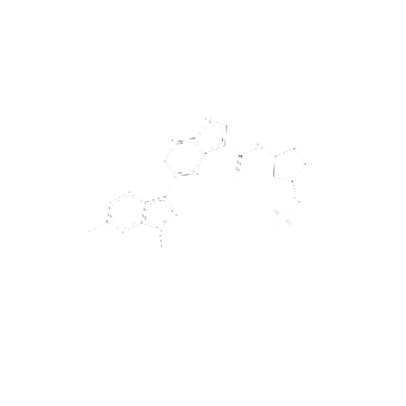 Cn1nc(-c2cnc3[nH]cc(C(=O)NC4CCC(NS(C)(=O)=O)C4)c3n2)c2ccc(Cl)cc21